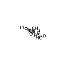 Cc1nn(CCCC(=O)NCC(O)c2ccccc2)c(=O)c2nn(-c3ccc(Cl)cc3)cc12